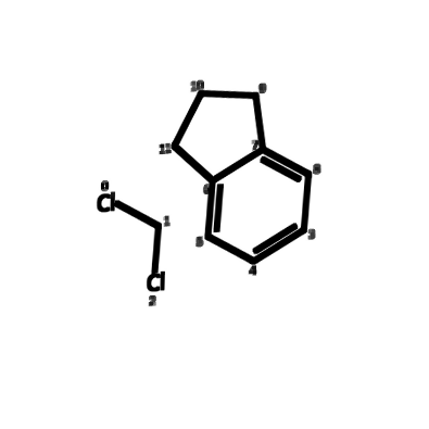 ClCCl.c1ccc2c(c1)CCC2